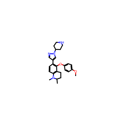 COc1ccc(Oc2c(-c3cnn(C4CCNCC4)c3)ccc3c2CCC(C)N3C)cc1